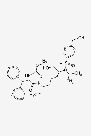 CC[C@@H](CCC[C@@H](CO)N(C(C)C)S(=O)(=O)c1ccc(CO)cc1)NC(=O)[C@@H](NC(=O)OC)C(c1ccccc1)c1ccccc1